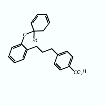 CCC1(Oc2ccccc2CCCc2ccc(C(=O)O)cc2)C=CC=CC1